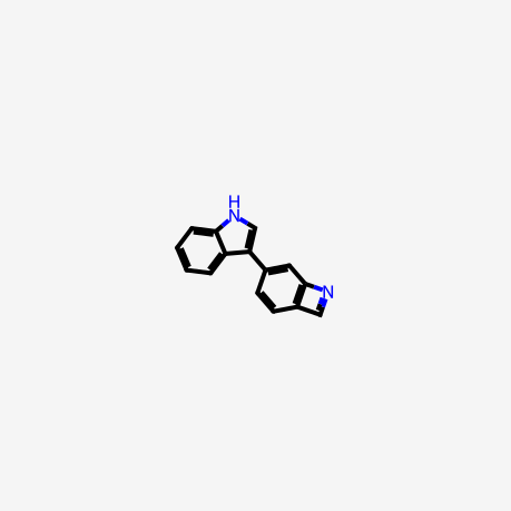 C1=Nc2cc(-c3c[nH]c4ccccc34)ccc21